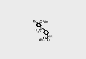 COc1cc(N(C)CC2CCC(NC(=O)OC(C)(C)C)CC2)ccc1Br